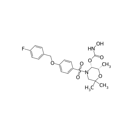 C[C@@H]1OC(C)(C)CN(S(=O)(=O)c2ccc(OCc3ccc(F)cc3)cc2)[C@@H]1OC(=O)NO